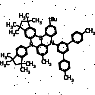 Cc1ccc(-c2cc(-c3ccc(C)cc3)cc(N3c4ccc(C(C)(C)C)cc4B4c5cc6c(cc5N(c5ccc7c(c5)C(C)(C)CC7(C)C)c5cc(C)cc3c54)C(C)(C)CC6(C)C)c2)cc1